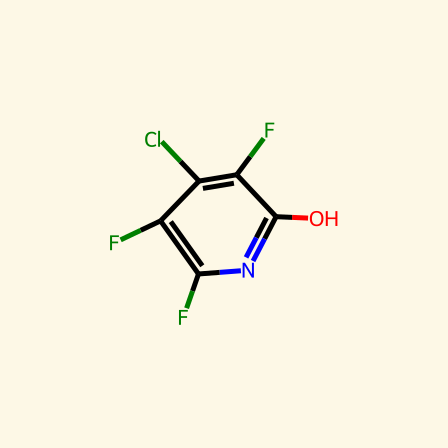 Oc1nc(F)c(F)c(Cl)c1F